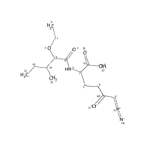 CCOC(C(=O)NC(CCC(=O)C=[N+]=[N-])C(=O)O)C(C)CC